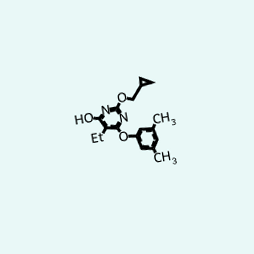 CCc1c(O)nc(OCC2CC2)nc1Oc1cc(C)cc(C)c1